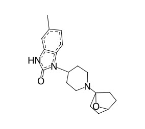 Cc1ccc2c(c1)[nH]c(=O)n2C1CCN(C23CCC(CC2)O3)CC1